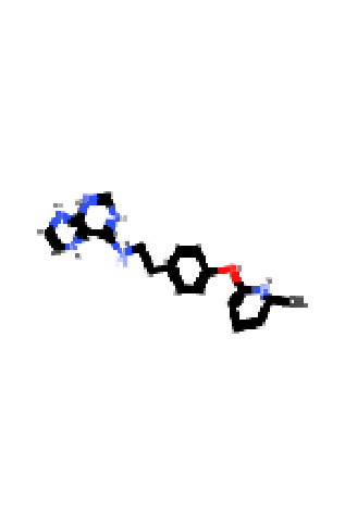 Cc1cccc(Oc2ccc(CCNc3ncnc4nccnc34)cc2)n1